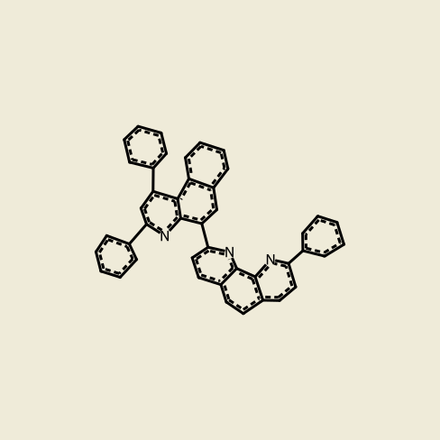 c1ccc(-c2cc(-c3ccccc3)c3c(n2)c(-c2ccc4ccc5ccc(-c6ccccc6)nc5c4n2)cc2ccccc23)cc1